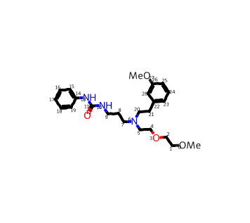 COCCOCCN(CCCNC(=O)Nc1ccccc1)CCc1cccc(OC)c1